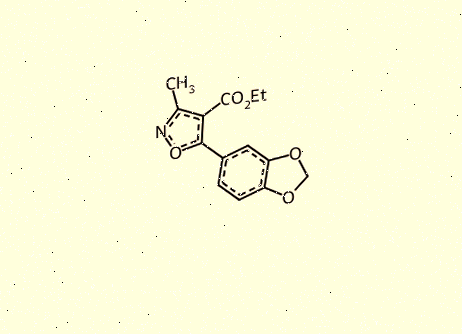 CCOC(=O)c1c(C)noc1-c1ccc2c(c1)OCO2